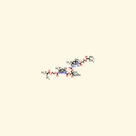 C=C(C)C(=O)OCCOC(=O)NCC(C)(C)CC(C)(CC)CNC(=O)OCC(C)(COC(=O)NCC(C)(C)CC(C)(CC)CNC(=O)OCCOC(=O)C(=C)C)C(=O)OC